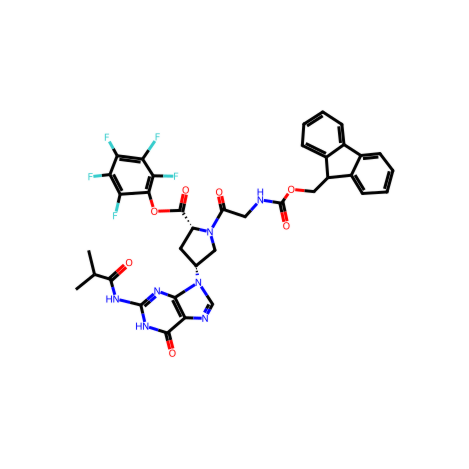 CC(C)C(=O)Nc1nc2c(ncn2[C@@H]2C[C@H](C(=O)Oc3c(F)c(F)c(F)c(F)c3F)N(C(=O)CNC(=O)OCC3c4ccccc4-c4ccccc43)C2)c(=O)[nH]1